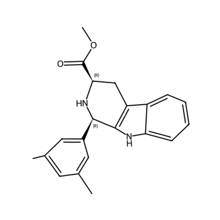 COC(=O)[C@H]1Cc2c([nH]c3ccccc23)[C@@H](c2cc(C)cc(C)c2)N1